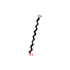 CCCC/C=C/CCCCCCCC/C=C/CCO